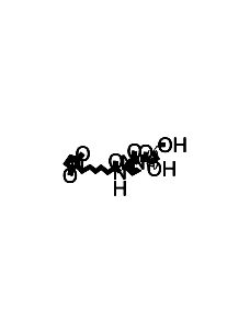 O=C(CCCCCN1C(=O)C=CC1=O)Nc1ccn([C@@H]2O[C@H](CO)C[C@@H]2O)c(=O)n1